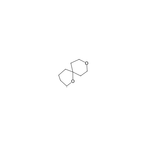 [CH]1CCCC2(CCOCC2)O1